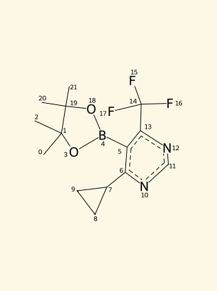 CC1(C)OB(c2c(C3CC3)ncnc2C(F)(F)F)OC1(C)C